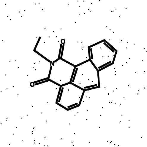 CCN1C(=O)c2cccc3cc4ccccc4c(c23)C1=O